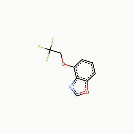 FC(F)(F)COc1cccc2ocnc12